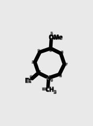 CCC1CCC(OC)CCCN1C